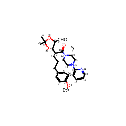 CCOc1ccc(CCC[C@@H](C(=O)N2CCN(c3ccccn3)C[C@H]2C)[C@@H]2OC(C)(C)OC2C=O)cc1